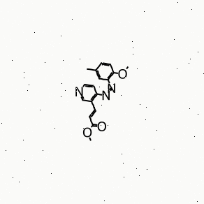 COC(=O)/C=C/c1cnccc1/N=N\c1cc(C)ccc1OC